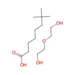 CC(C)(C)CCCCCC(=O)O.OCCOCCO